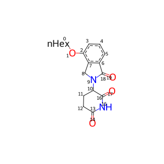 CCCCCCOc1cccc2c1CN(C1CCC(=O)NC1=O)C2=O